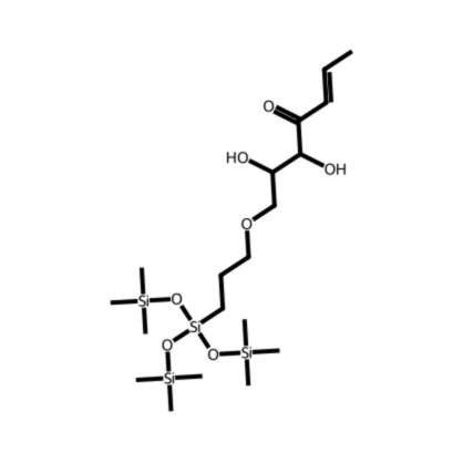 CC=CC(=O)C(O)C(O)COCCC[Si](O[Si](C)(C)C)(O[Si](C)(C)C)O[Si](C)(C)C